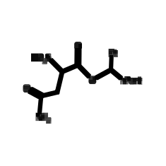 CCCCCC(CC)OC(=O)C(CC(N)=O)S(=O)(=O)O